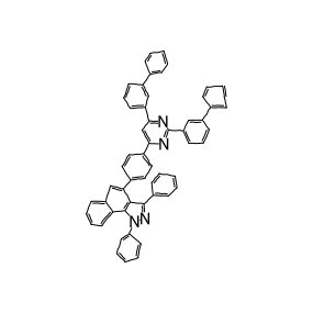 c1ccc(-c2cccc(-c3cc(-c4ccc(-c5cc6ccccc6c6c5c(-c5ccccc5)nn6-c5ccccc5)cc4)nc(-c4cccc(-c5ccccc5)c4)n3)c2)cc1